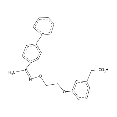 CC(=NOCCOc1cccc(CC(=O)O)c1)c1ccc(-c2ccccc2)cc1